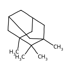 CC12CC3CC(C1)CC(C)(C3)C2(C)C